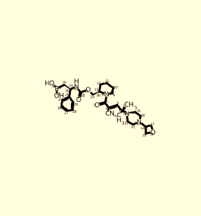 CC(C)(C=C(C#N)C(=O)N1CCCC[C@@H]1COC(=O)N[C@H](CB(O)O)c1ccccc1)N1CCN(C2COC2)CC1